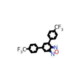 FC(F)(F)c1ccc(-c2cc(-c3ccc(C(F)(F)F)cc3)c3nonc3c2)cc1